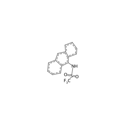 O=S(=O)(Nc1c2ccccc2cc2ccccc12)C(F)(F)F